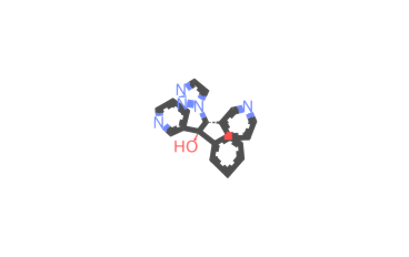 O[C@](c1ccccc1)(c1cccnc1)[C@@H](c1cccnc1)n1ccnn1